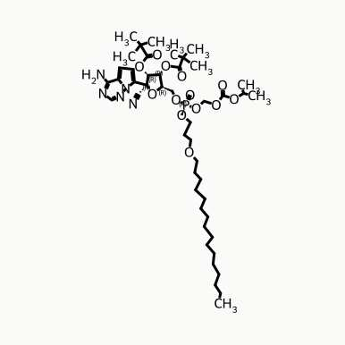 CCCCCCCCCCCCCCCCOCCCO[P@@](=O)(OCOC(=O)OC(C)C)OC[C@H]1O[C@@](C#N)(c2ccc3c(N)ncnn23)[C@H](OC(=O)C(C)(C)C)[C@@H]1OC(=O)C(C)(C)C